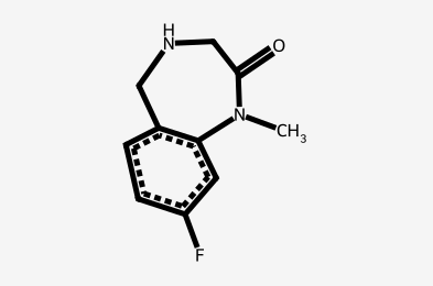 CN1C(=O)CNCc2ccc(F)cc21